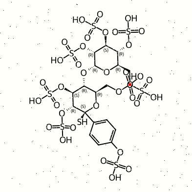 O=S(=O)(O)OC[C@H]1O[C@H](O[C@H]2[C@H](OS(=O)(=O)O)[C@@H](OS(=O)(=O)O)[C@@](S)(c3ccc(OS(=O)(=O)O)cc3)O[C@@H]2COS(=O)(=O)O)[C@H](OS(=O)(=O)O)[C@@H](OS(=O)(=O)O)[C@@H]1OS(=O)(=O)O